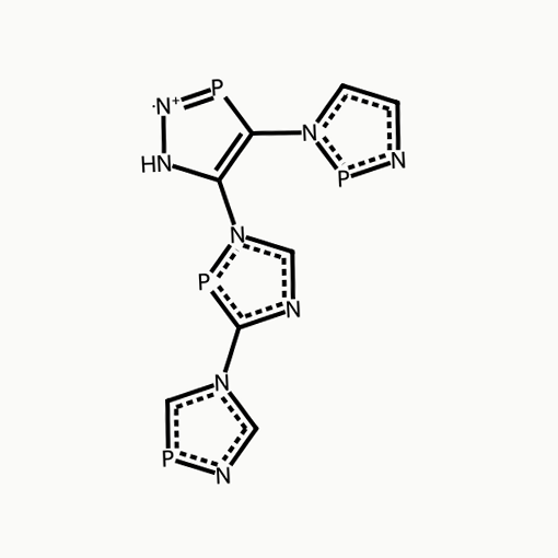 c1cn(C2=C(n3cnc(-n4cnpc4)p3)N[N+]=P2)pn1